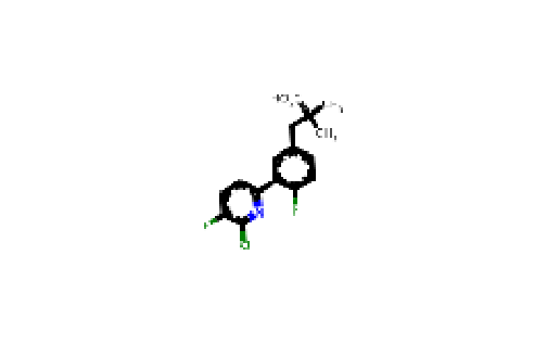 CC(C)(Cc1ccc(F)c(-c2ccc(F)c(Cl)n2)c1)C(=O)O